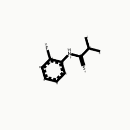 CC(C)C(=S)Nc1ccccc1F